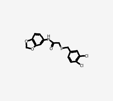 O=C(CSCc1ccc(Cl)c(Cl)c1)Nc1ccc2c(c1)OCO2